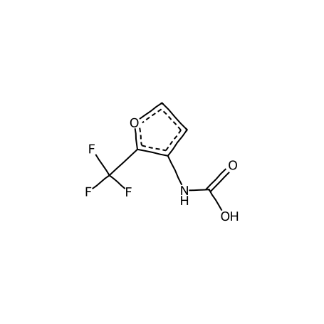 O=C(O)Nc1ccoc1C(F)(F)F